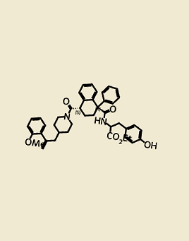 C=C(CC1CCN(C(=O)[C@H]2CC[C@@](C(=O)NC(Cc3ccc(O)cc3)C(=O)OCC)(c3ccccc3)c3ccccc32)CC1)c1ccccc1OC